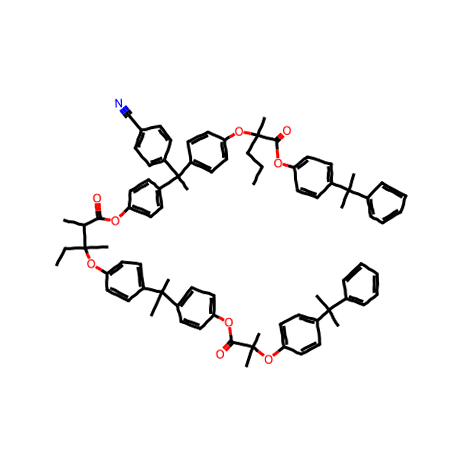 CCCC(C)(Oc1ccc(C(C)(c2ccc(C#N)cc2)c2ccc(OC(=O)C(C)C(C)(CC)Oc3ccc(C(C)(C)c4ccc(OC(=O)C(C)(C)Oc5ccc(C(C)(C)c6ccccc6)cc5)cc4)cc3)cc2)cc1)C(=O)Oc1ccc(C(C)(C)c2ccccc2)cc1